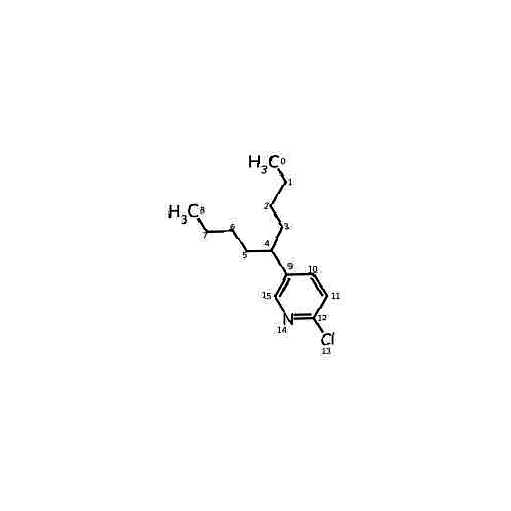 CCCCC(CCCC)c1ccc(Cl)nc1